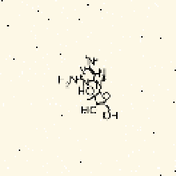 CN(C)c1nc(N)nc2c1ncn2C1OC(CO)C(O)C1(C)O